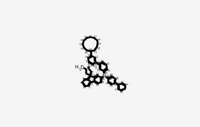 CCCC1(CCC)c2ccccc2-c2ccc(N(c3ccc(-c4ccccc4)cc3)c3cccc(-c4cccc(C5CCCCCCCCCCC5)c4)c3)cc21